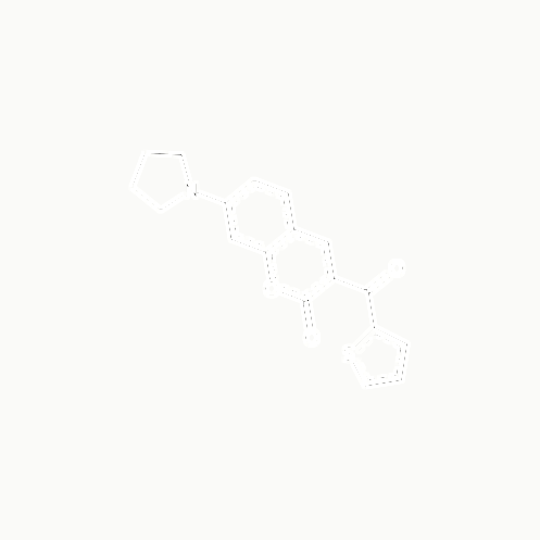 O=C(c1cccs1)c1cc2ccc(N3CCCC3)cc2oc1=O